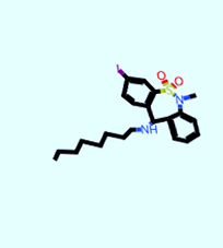 CCCCCCCCNC1c2ccccc2N(C)S(=O)(=O)c2cc(I)ccc21